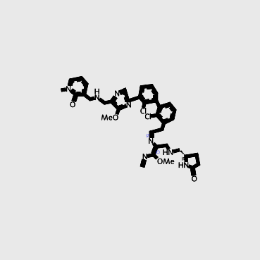 C=N/C(OC)=C(CNC[C@@H]1CCC(=O)N1)\N=C/Cc1cccc(-c2cccc(-c3cnc(CNCc4cccn(C)c4=O)c(OC)n3)c2Cl)c1Cl